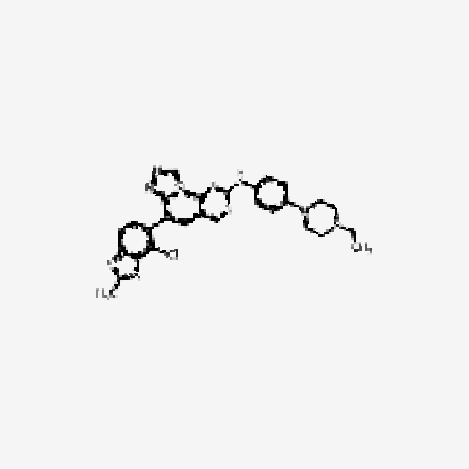 CCN1CCN(c2ccc(Nc3ncc4cc(-c5ccc6sc(C)nc6c5Cl)c5nncn5c4n3)cc2)CC1